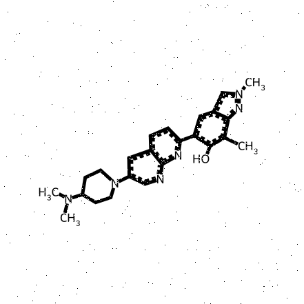 Cc1c(O)c(-c2ccc3cc(N4CCC(N(C)C)CC4)cnc3n2)cc2cn(C)nc12